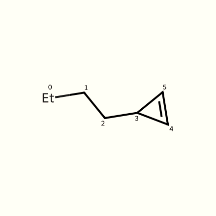 [CH2]CCCC1C=C1